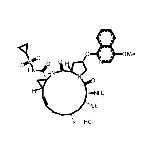 CC[C@@H]1C[C@H](C)CCC=C[C@@H]2C[C@@]2(C(=O)NS(=O)(=O)C2CC2)NC(=O)[C@@H]2C[C@@H](Oc3ncc(OC)c4ccccc34)CN2C(=O)[C@H]1N.Cl